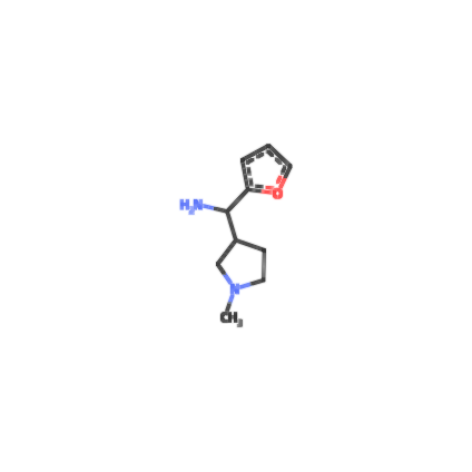 CN1CCC(C(N)c2ccco2)C1